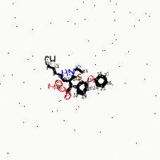 CCCCCC(=O)C(C1NCCS1)C(C(=O)O)c1cccc(Oc2ccccc2)c1